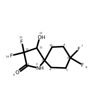 O=C1NC2(CCC(F)(F)CC2)C(O)C1(F)F